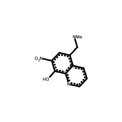 CNCc1cc([N+](=O)[O-])c(O)c2ncccc12